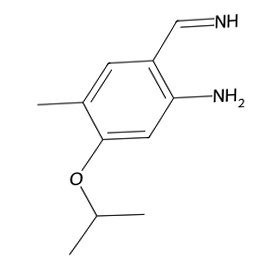 Cc1cc(C=N)c(N)cc1OC(C)C